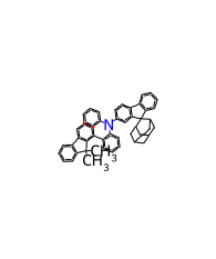 CC1(C)c2ccccc2-c2cccc(-c3ccccc3N(c3ccccc3)c3ccc4c(c3)C3(c5ccccc5-4)C4CC5CC(C4)CC3C5)c21